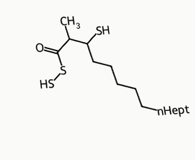 CCCCCCCCCCCCC(S)C(C)C(=O)SS